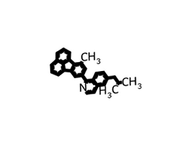 Cc1cc(-c2nccc3cc(CC(C)C)ccc23)cc2c1-c1cccc3cccc-2c13